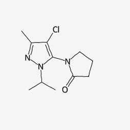 Cc1nn(C(C)C)c(N2CCCC2=O)c1Cl